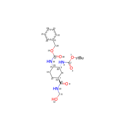 CC(C)(C)OC(=O)N[C@@H]1C[C@@H](C(=O)NCO)CC[C@@H]1NC(=O)OCc1ccccc1